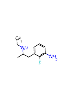 CC(Cc1cccc(N)c1F)NCC(F)(F)F